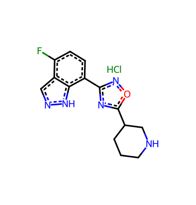 Cl.Fc1ccc(-c2noc(C3CCCNC3)n2)c2[nH]ncc12